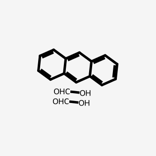 O=CO.O=CO.c1ccc2cc3ccccc3cc2c1